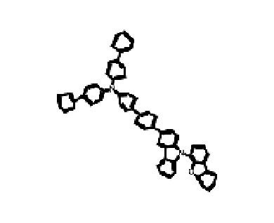 c1ccc(-c2ccc(N(c3ccc(-c4ccccc4)cc3)c3ccc(-c4ccc(-c5ccc6c(c5)c5ccccc5n6-c5cccc6c5oc5ccccc56)cc4)cc3)cc2)cc1